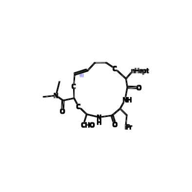 CCCCCCCC1CCC/C=C/CC(C(=O)N(C)C)CC(C=O)NC(=O)C(CC(C)C)NC1=O